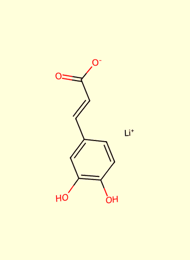 O=C([O-])C=Cc1ccc(O)c(O)c1.[Li+]